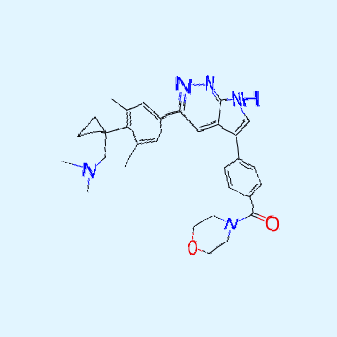 Cc1cc(-c2cc3c(-c4ccc(C(=O)N5CCOCC5)cc4)c[nH]c3nn2)cc(C)c1C1(CN(C)C)CC1